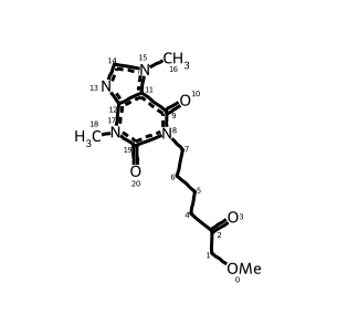 COCC(=O)CCCCn1c(=O)c2c(ncn2C)n(C)c1=O